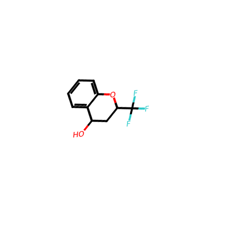 OC1CC(C(F)(F)F)Oc2ccccc21